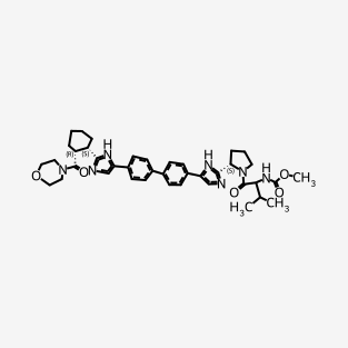 COC(=O)NC(C(=O)N1CCC[C@H]1c1ncc(-c2ccc(-c3ccc(-c4cnc([C@H]5CCCC[C@H]5C(=O)N5CCOCC5)[nH]4)cc3)cc2)[nH]1)C(C)C